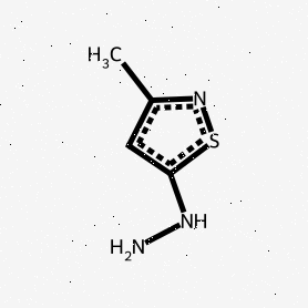 Cc1cc(NN)sn1